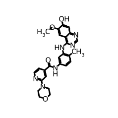 COc1cc2c(Nc3cc(NC(=O)c4ccnc(N5CCOCC5)c4)ccc3C)ncnc2cc1O